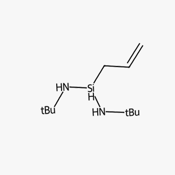 C=CC[SiH](NC(C)(C)C)NC(C)(C)C